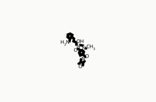 CCN1CCN(CC(O)CCc2ccccc2CN)C(=O)c2ccc(C(=O)N3CC4COCC4C3)cc21